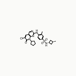 Cc1cc(S(=O)(=O)N[C@H]2C[C@H](C)C2)ccc1Nc1ncc2cc(Cl)c(=O)n(C3CCCC3)c2n1